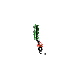 Cc1ccc(S(=O)(=O)OCCCC(F)(F)C(F)(F)C(F)(F)C(F)(F)C(F)(F)C(F)(F)C(F)(F)C(F)(F)F)cc1